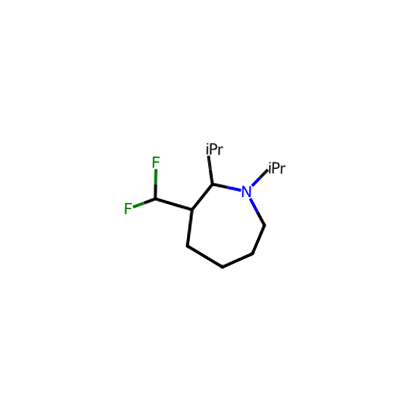 CC(C)C1C(C(F)F)CCCCN1C(C)C